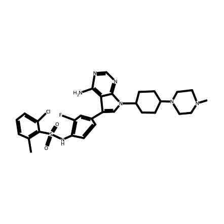 Cc1cccc(Cl)c1S(=O)(=O)Nc1ccc(-c2cn(C3CCC(N4CCN(C)CC4)CC3)c3ncnc(N)c23)cc1F